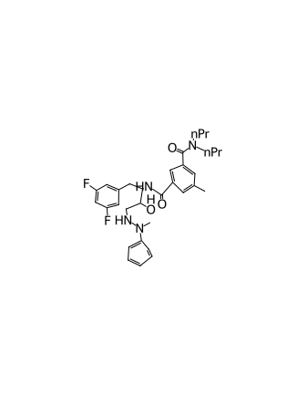 CCCN(CCC)C(=O)c1cc(C)cc(C(=O)NC(Cc2cc(F)cc(F)c2)C(O)CNN(C)c2ccccc2)c1